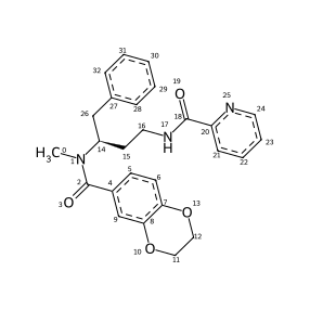 CN(C(=O)c1ccc2c(c1)OCCO2)[C@H](CCNC(=O)c1ccccn1)Cc1ccccc1